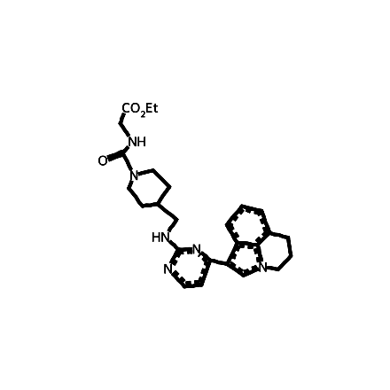 CCOC(=O)CNC(=O)N1CCC(CNc2nccc(-c3cn4c5c(cccc35)CCC4)n2)CC1